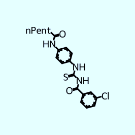 CCCCCC(=O)Nc1ccc(NC(=S)NC(=O)c2cccc(Cl)c2)cc1